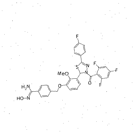 COc1c(OCc2ccc(/C(N)=N/O)cc2)cccc1C1SC(c2ccc(F)cc2)=NN1C(=O)c1c(F)cc(F)cc1F